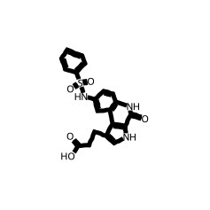 O=C(O)CCc1c[nH]c2c(=O)[nH]c3ccc(NS(=O)(=O)c4ccccc4)cc3c12